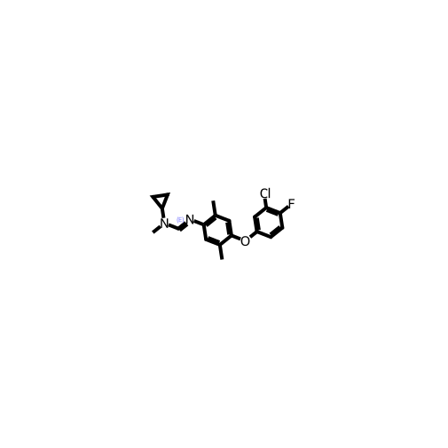 Cc1cc(Oc2ccc(F)c(Cl)c2)c(C)cc1/N=C/N(C)C1CC1